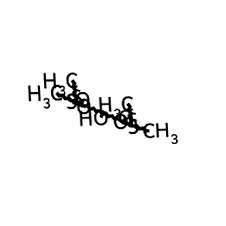 CCCCCSC(CC(=O)OCCCCCC(O)CCCCCOC(=O)CC(SCCCCC)SCCCCC)SCCCCC